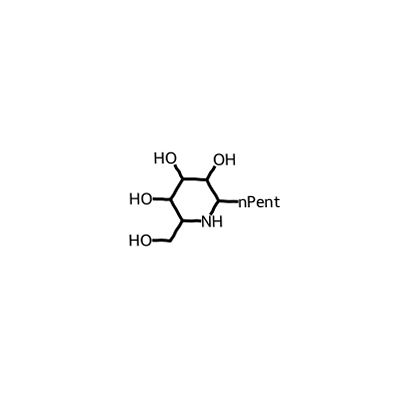 CCCCCC1NC(CO)C(O)C(O)C1O